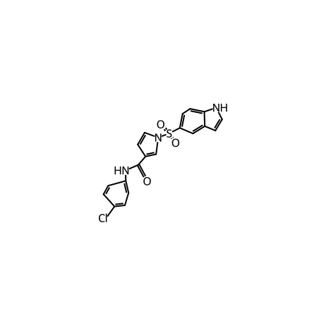 O=C(Nc1ccc(Cl)cc1)c1ccn(S(=O)(=O)c2ccc3[nH]ccc3c2)c1